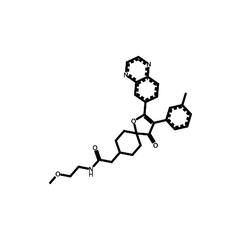 COCCNC(=O)CC1CCC2(CC1)OC(c1ccc3nccnc3c1)=C(c1cccc(C)c1)C2=O